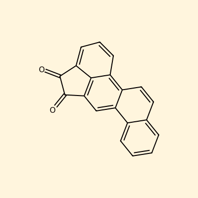 O=C1C(=O)c2cc3c4ccccc4ccc3c3cccc1c23